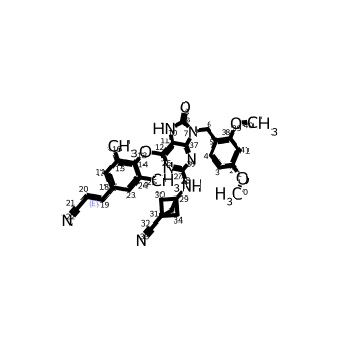 COc1ccc(Cn2c(=O)[nH]c3c(Oc4c(C)cc(/C=C/C#N)cc4C)nc(NC45CC(C#N)(C4)C5)nc32)c(OC)c1